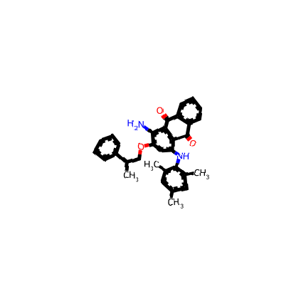 Cc1cc(C)c(Nc2cc(OCC(C)c3ccccc3)c(N)c3c2C(=O)c2ccccc2C3=O)c(C)c1